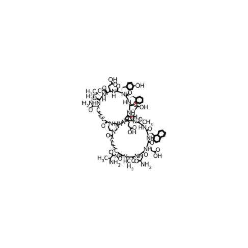 C[C@H](N)C(=O)N[C@H]1CSCCC(=O)N2CCN3C[N@](C2)NN(C(=O)[C@@H](C)NC(=O)[C@@H](C)NC(=O)[C@H](Cc2cccc4ccccc24)NC(=O)[C@H](CCC(=O)O)NC(=O)[C@H](CC(N)=O)NC(=O)[C@@H](C)NC1=O)[C@@H](CCC(=O)O)C(=O)N[C@@H](CC(=O)O)C(=O)N[C@@H](Cc1ccccc1)C(=O)N[C@@H](Cc1ccc(O)cc1)C(=O)NC(CC(=O)O)C(=O)N[C@@H](C(C)(C)C)C(=O)N[C@H](C(N)=O)CSCCC3=O